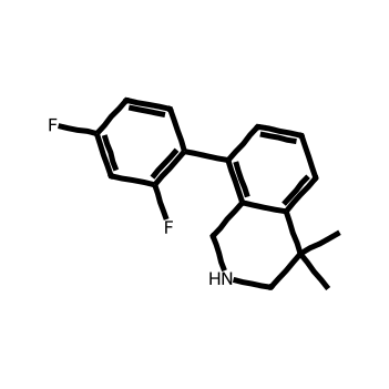 CC1(C)CNCc2c(-c3ccc(F)cc3F)cccc21